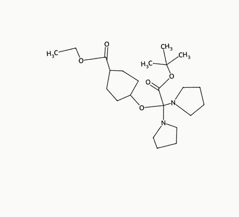 CCOC(=O)C1CCC(OC(C(=O)OC(C)(C)C)(N2CCCC2)N2CCCC2)CC1